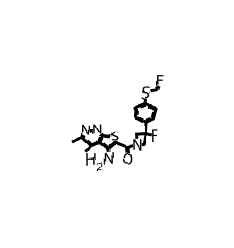 Cc1nnc2sc(C(=O)N3CC(F)(c4ccc(SCF)cc4)C3)c(N)c2c1C